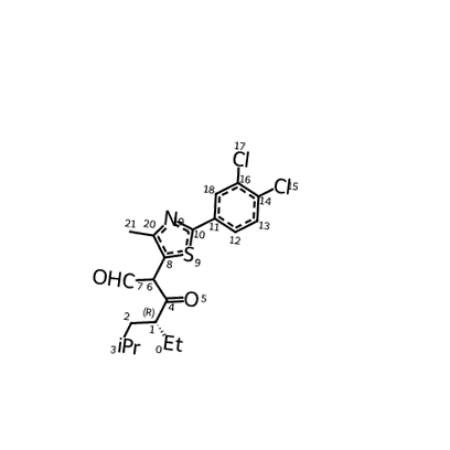 CC[C@H](CC(C)C)C(=O)C(C=O)c1sc(-c2ccc(Cl)c(Cl)c2)nc1C